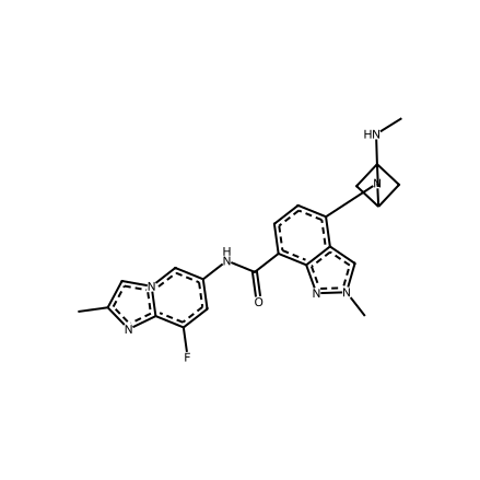 CNC12CC(C1)N(c1ccc(C(=O)Nc3cc(F)c4nc(C)cn4c3)c3nn(C)cc13)C2